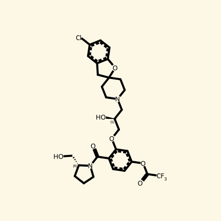 O=C(c1ccc(OC(=O)C(F)(F)F)cc1OC[C@@H](O)CN1CCC2(CC1)Cc1cc(Cl)ccc1O2)N1CCC[C@@H]1CO